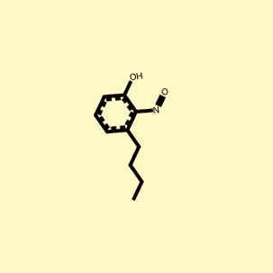 CCCCc1cccc(O)c1N=O